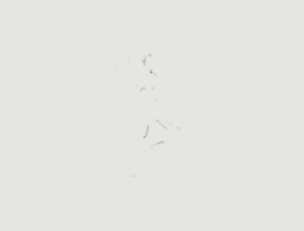 BCCc1ccc(CC2CN(CC(C)C(=C)N)C2)c(C)c1